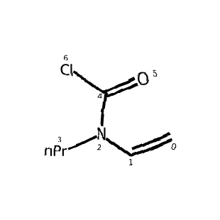 C=CN(CCC)C(=O)Cl